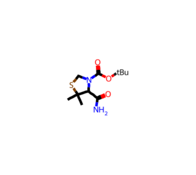 CC(C)(C)OC(=O)N1CSC(C)(C)C1C(N)=O